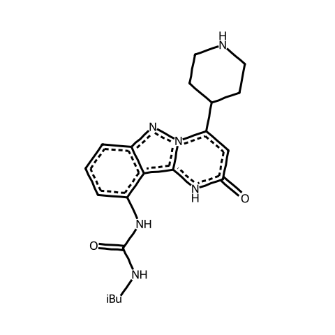 CCC(C)NC(=O)Nc1cccc2nn3c(C4CCNCC4)cc(=O)[nH]c3c12